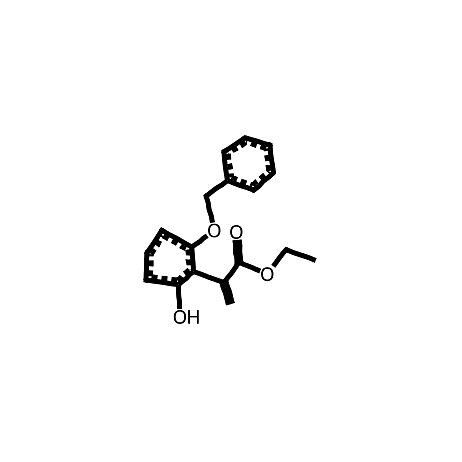 C=C(C(=O)OCC)c1c(O)cccc1OCc1ccccc1